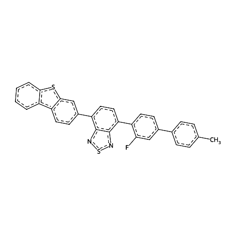 Cc1ccc(-c2ccc(-c3ccc(-c4ccc5c(c4)sc4ccccc45)c4nsnc34)c(F)c2)cc1